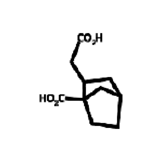 O=C(O)CC1CC2CCC1(C(=O)O)C2